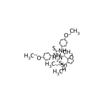 CCOc1ccc(NC(=S)Nc2ccc(OCC)cc2)cc1.CC[S][SnH]([CH2]C)[c]1ccoc1C(C)N